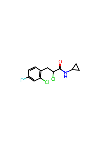 O=C(NC1CC1)C(Cl)Cc1c[c]c(F)cc1Cl